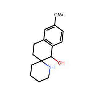 COc1ccc2c(c1)CCC1(CCCCN1)C2O